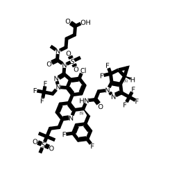 CN(CCCC(=O)O)C(=O)N(c1nn(CC(F)(F)F)c2c(-c3ccc(CCC(C)(C)S(C)(=O)=O)nc3[C@H](Cc3cc(F)cc(F)c3)NC(=O)Cn3nc(C(F)(F)F)c4c3C(F)(F)C3C[C@H]43)ccc(Cl)c12)S(C)(=O)=O